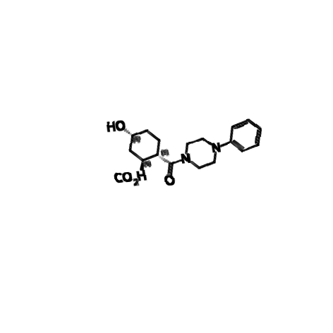 O=C(O)[C@H]1C[C@H](O)CC[C@@H]1C(=O)N1CCN(c2ccccc2)CC1